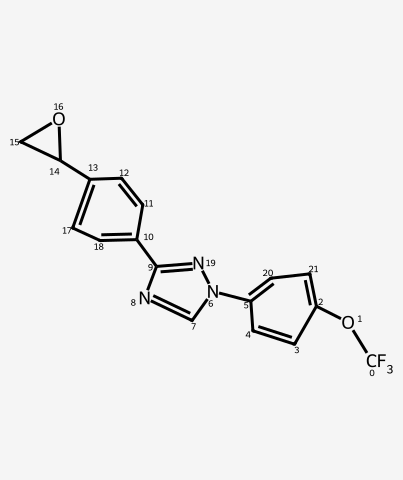 FC(F)(F)Oc1ccc(-n2cnc(-c3ccc(C4CO4)cc3)n2)cc1